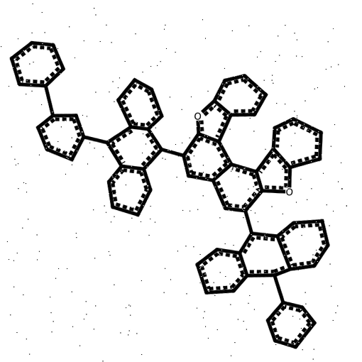 c1ccc(-c2cccc(-c3c4ccccc4c(-c4cc5cc(-c6c7ccccc7c(-c7ccccc7)c7ccccc67)c6oc7ccccc7c6c5c5c4oc4ccccc45)c4ccccc34)c2)cc1